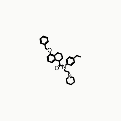 CCc1ccc(N(CCN2CCCCC2)C(=O)C2CCCc3c(OCc4ccccc4)cccc32)cc1